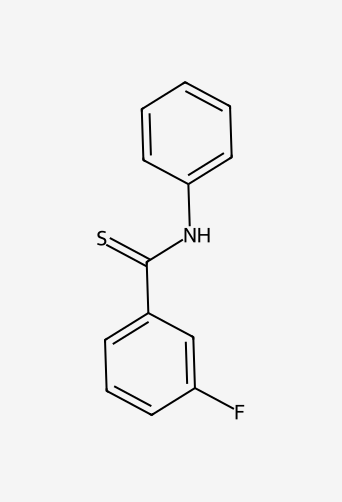 Fc1cccc(C(=S)Nc2ccccc2)c1